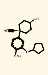 C#C[C@]1(c2ccc(OC)c(OC3CCCC3)c2)CC[C@H](O)CC1